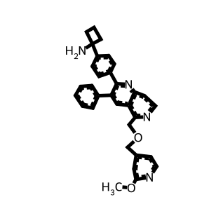 COc1cc(COCc2nccc3nc(-c4ccc(C5(N)CCC5)cc4)c(-c4ccccc4)cc23)ccn1